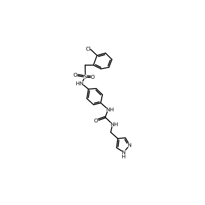 O=C(NCc1cn[nH]c1)Nc1ccc(NS(=O)(=O)Cc2ccccc2Cl)cc1